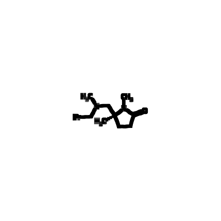 CC(C)CN(C)C[C@]1(C)CCC(=O)N1C